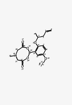 C=CCC(C)Oc1ccc(OC(F)(F)F)cc1B1OC(=O)CN(C)CC(=O)O1